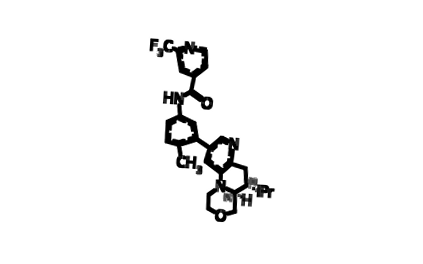 Cc1ccc(NC(=O)c2ccnc(C(F)(F)F)c2)cc1-c1cnc2c(c1)N1CCOC[C@@H]1[C@@H](C(C)C)C2